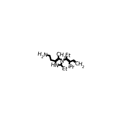 C=C/C(=C(\CC)N1C(C)=C(CCN)NC1CC)C(C)C